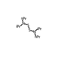 CCCN(SSN(CCC)C(C)C)C(C)C